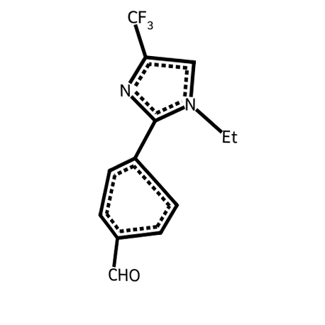 CCn1cc(C(F)(F)F)nc1-c1ccc(C=O)cc1